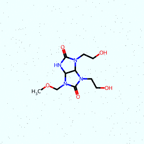 COCN1C(=O)N(CCO)C2C1NC(=O)N2CCO